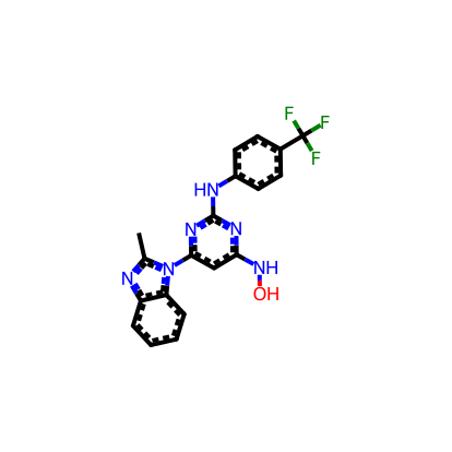 Cc1nc2ccccc2n1-c1cc(NO)nc(Nc2ccc(C(F)(F)F)cc2)n1